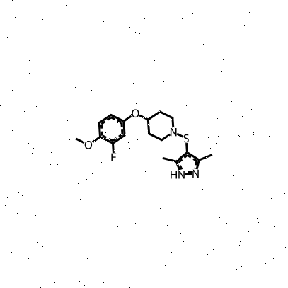 COc1ccc(OC2CCN(Sc3c(C)n[nH]c3C)CC2)cc1F